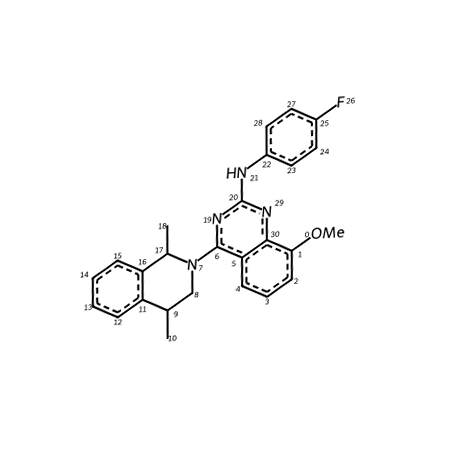 COc1cccc2c(N3CC(C)c4ccccc4C3C)nc(Nc3ccc(F)cc3)nc12